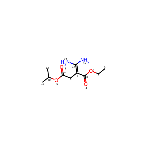 CCOC(=O)C(CC(=O)OC(C)C)=C(N)N